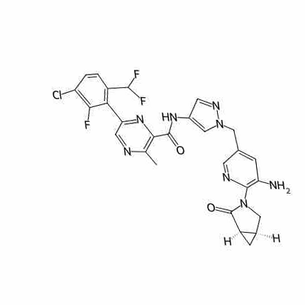 Cc1ncc(-c2c(C(F)F)ccc(Cl)c2F)nc1C(=O)Nc1cnn(Cc2cnc(N3C[C@H]4C[C@H]4C3=O)c(N)c2)c1